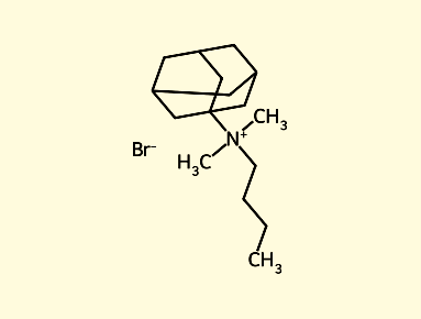 CCCC[N+](C)(C)C12CC3CC(CC(C3)C1)C2.[Br-]